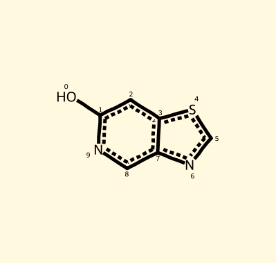 Oc1cc2scnc2cn1